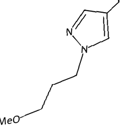 COCCCn1cc(C)cn1